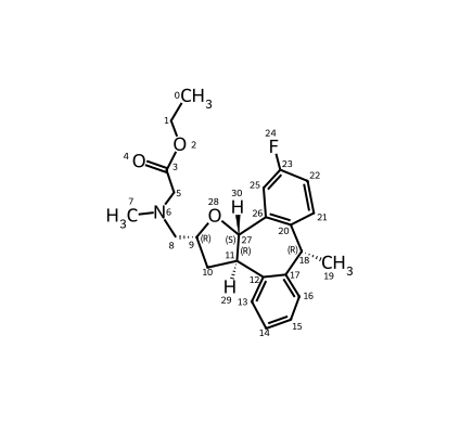 CCOC(=O)CN(C)C[C@H]1C[C@@H]2c3ccccc3[C@@H](C)c3ccc(F)cc3[C@H]2O1